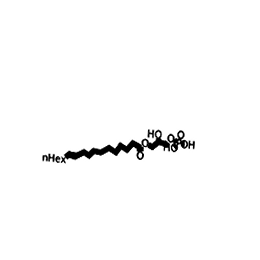 CCCCCC/C=C/CCCCCCCCCC(=O)OCC(O)COP(=O)(O)O